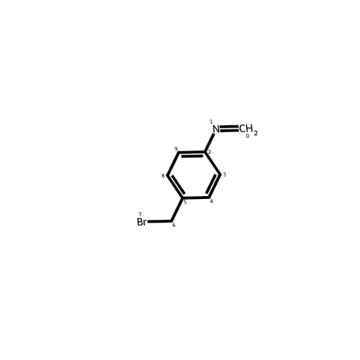 C=Nc1ccc(CBr)cc1